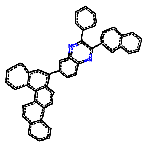 c1ccc(-c2nc3cc(-c4cc5ccccc5c5c4ccc4c6ccccc6ccc45)ccc3nc2-c2ccc3ccccc3c2)cc1